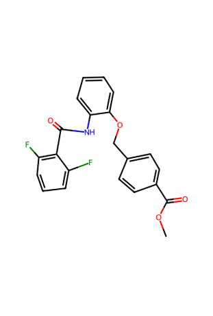 COC(=O)c1ccc(COc2ccccc2NC(=O)c2c(F)cccc2F)cc1